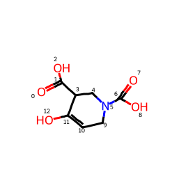 O=C(O)C1CN(C(=O)O)CC=C1O